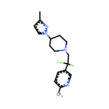 Cc1ccn(C2CCN(CC(F)(F)c3ccc(C(F)(F)F)nc3)CC2)n1